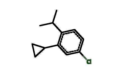 CC(C)c1ccc(Cl)cc1C1CC1